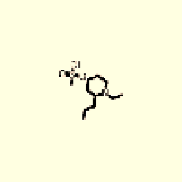 CCCC1CCCCN1CC.CS(=O)(=O)O